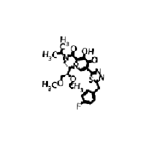 COC[C@H](OC)[C@@H]1CN(C(C)C)C(=O)c2c(O)c(=O)c(-c3nnc(Cc4ccc(F)cc4)s3)cn21